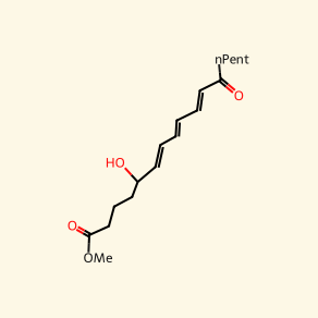 CCCCCC(=O)C=CC=CC=CC(O)CCCC(=O)OC